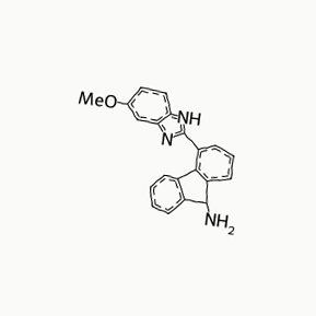 COc1ccc2[nH]c(-c3cccc4c3-c3ccccc3C4N)nc2c1